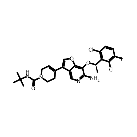 C[C@@H](Oc1c(N)ncc2c(C3=CCN(C(=O)NC(C)(C)C)CC3)coc12)c1c(Cl)ccc(F)c1Cl